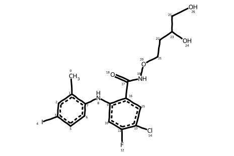 Cc1cc(I)ccc1Nc1cc(F)c(Cl)cc1C(=O)NOCCC(O)CO